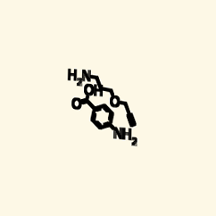 C#CCOCCCN.Nc1ccc(C(=O)O)cc1